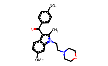 COc1ccc2c(C(=O)c3ccc([N+](=O)[O-])cc3)c(C)n(CCN3CCOCC3)c2c1